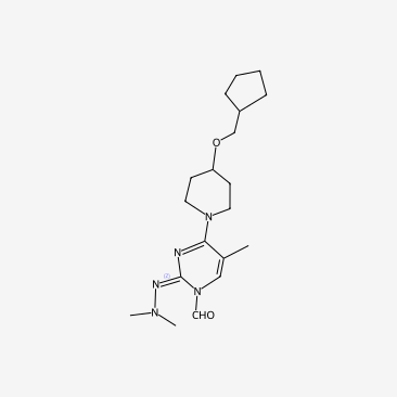 Cc1cn(C=O)/c(=N\N(C)C)nc1N1CCC(OCC2CCCC2)CC1